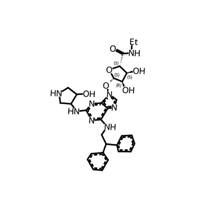 CCNC(=O)[C@H]1O[C@@H](On2cnc3c(NCC(c4ccccc4)c4ccccc4)nc(NC4CNCC4O)nc32)[C@H](O)[C@@H]1O